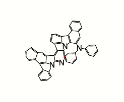 c1ccc(N(c2ccccc2)c2cc3ccccc3c3c4cccc5c6c7c8cc9ccccc9c9c%10ccccc%10n(c7ncc6n(c23)c54)c89)cc1